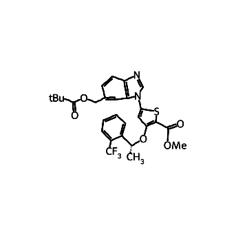 COC(=O)c1sc(-n2cnc3ccc(COC(=O)C(C)(C)C)cc32)cc1O[C@H](C)c1ccccc1C(F)(F)F